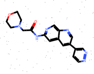 O=C(CN1CCOCC1)Nc1cc2cc(-c3ccnnc3)cnc2cn1